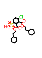 O=C(OCCC1CCCCC1)c1c(Cl)ccc(S(=O)(=O)O)c1C(=O)OCCC1CCCCC1